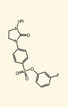 CCCN1CCN(c2ccc(S(=O)(=O)Oc3cccc(F)c3)cc2)C1=O